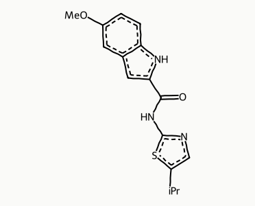 COc1ccc2[nH]c(C(=O)Nc3ncc(C(C)C)s3)cc2c1